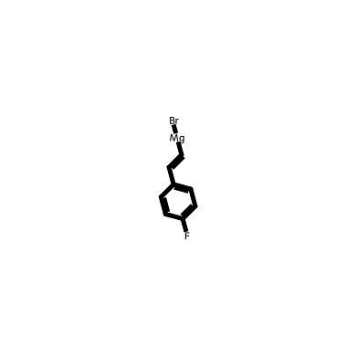 Fc1ccc(C=[CH][Mg][Br])cc1